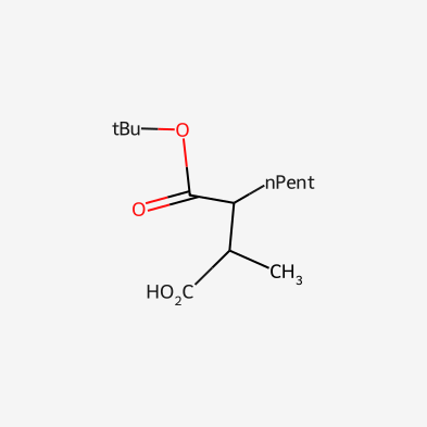 CCCCCC(C(=O)OC(C)(C)C)C(C)C(=O)O